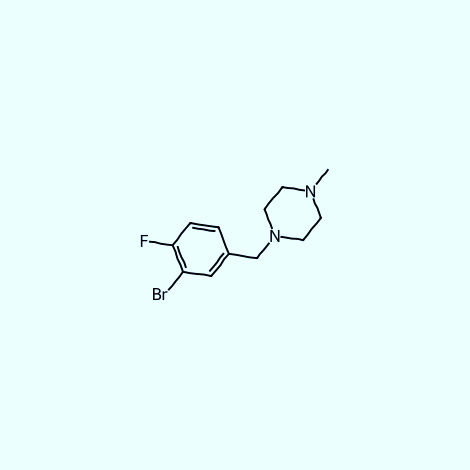 CN1CCN(Cc2ccc(F)c(Br)c2)CC1